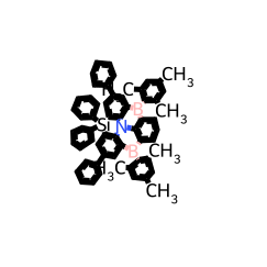 Cc1cc(C)c(B2c3cccc4c3N3c5c2cc(-c2ccccc2)cc5[Si](c2ccccc2)(c2ccccc2)c2cc(-c5ccccc5)cc(c23)B4c2c(C)cc(C)cc2C)c(C)c1